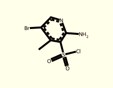 Cc1c(Br)cnc(N)c1S(=O)(=O)Cl